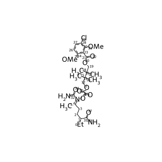 CC[C@@H](CC[C@H](C)N(OS(=O)(=O)OCC(C)(C)C(C)(C)COC(=O)c1c(OC)ccc(Cl)c1OC)C(N)=O)C(N)=O